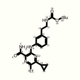 CCc1nc(C(N)=O)c(Nc2cccc(CCNC(=O)OC(C)(C)C)c2)nc1C1CC1